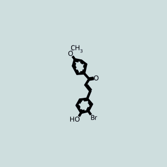 COc1ccc(C(=O)/C=C/c2ccc(O)c(Br)c2)cc1